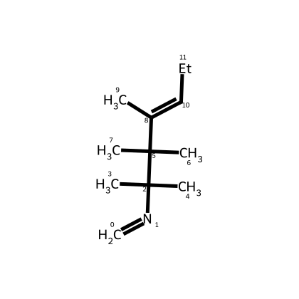 C=NC(C)(C)C(C)(C)/C(C)=C/CC